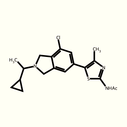 CC(=O)Nc1nc(C)c(-c2cc(Cl)c3c(c2)CN(C(C)C2CC2)C3)s1